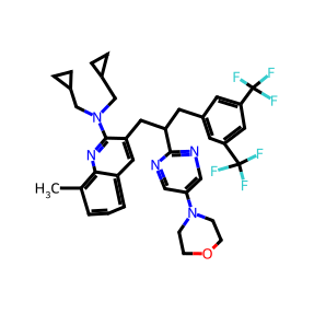 Cc1cccc2cc(CC(Cc3cc(C(F)(F)F)cc(C(F)(F)F)c3)c3ncc(N4CCOCC4)cn3)c(N(CC3CC3)CC3CC3)nc12